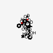 COC(=O)O[C@H]1C[C@H]2OC[C@@]2(OC(C)=O)[C@H]2[C@H](OC(=O)c3ccccc3)[C@]34OC(=O)O[C@H]3[C@H](OC(=O)[C@H](O)[C@@H](NC(=O)OC(C)(C)C)c3ccccn3)C(C)=C([C@@H](OC)C(=O)[C@]12C)C4(C)C